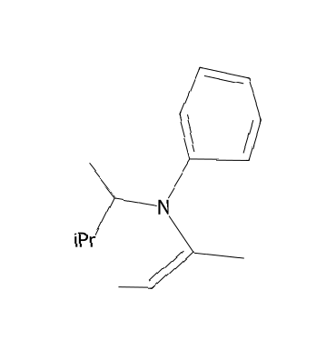 C/C=C(/C)N(c1ccccc1)C(C)C(C)C